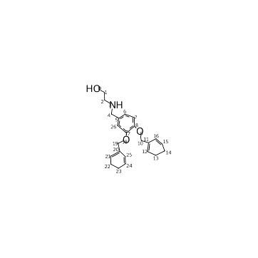 OCCNCc1ccc(OCC2=CCCC=C2)c(OCC2=CCCC=C2)c1